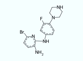 Nc1ccc(Br)nc1Nc1ccc(N2CCNCC2)c(F)c1